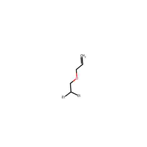 C=CCOCC(CC)CC